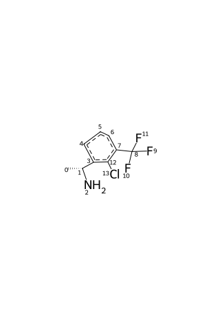 C[C@@H](N)c1cccc(C(F)(F)F)c1Cl